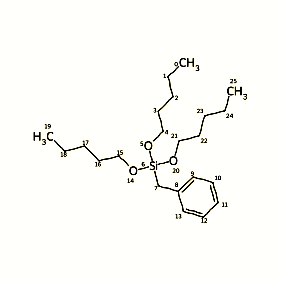 CCCCCO[Si](Cc1ccccc1)(OCCCCC)OCCCCC